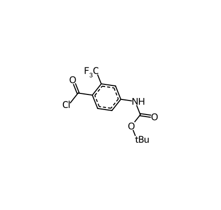 CC(C)(C)OC(=O)Nc1ccc(C(=O)Cl)c(C(F)(F)F)c1